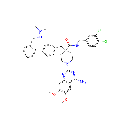 CN(C)NCc1ccccc1.COc1cc2nc(N3CCC(Cc4ccccc4)(C(=O)NCc4ccc(Cl)c(Cl)c4)CC3)nc(N)c2cc1OC